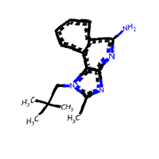 Cc1nc2nc(N)c3ccccc3c2n1CC(C)(C)C